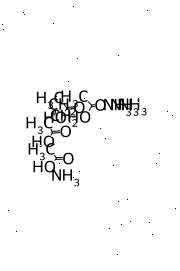 C=C.CC(=O)O.CC(=O)O.CC(=O)O.CC(=O)O.N.N.N.N